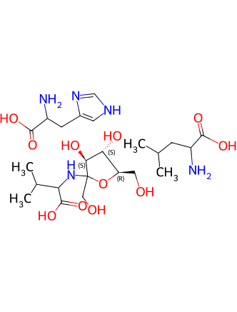 CC(C)C(NC1(CO)O[C@H](CO)[C@@H](O)[C@@H]1O)C(=O)O.CC(C)CC(N)C(=O)O.NC(Cc1c[nH]cn1)C(=O)O